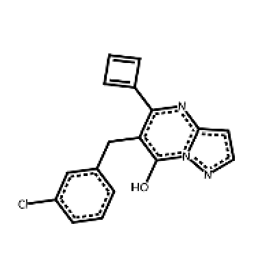 Oc1c(Cc2cccc(Cl)c2)c(C2=CC=C2)nc2ccnn12